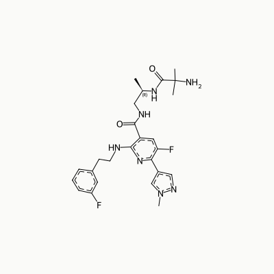 C[C@H](CNC(=O)c1cc(F)c(-c2cnn(C)c2)nc1NCCc1cccc(F)c1)NC(=O)C(C)(C)N